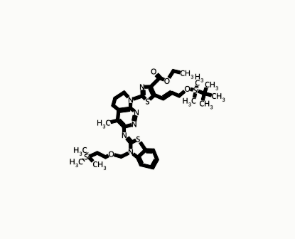 CCOC(=O)c1nc(N2CCCc3c2nnc(/N=c2\sc4ccccc4n2COCC[Si](C)(C)C)c3C)sc1/C=C/CO[Si](C)(C)C(C)(C)C